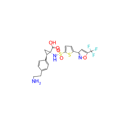 NCCc1ccc([C@H]2C[C@@]2(NS(=O)(=O)c2ccc(-c3cc(C(F)(F)F)on3)s2)C(=O)O)cc1